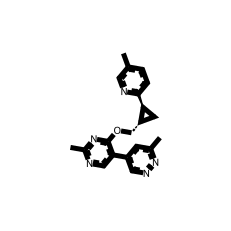 Cc1ccc([C@H]2C[C@@H]2COc2nc(C)ncc2-c2cnnc(C)c2)nc1